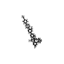 N#Cc1ccc(N2CCN(c3ccc(-c4ccc(C(F)(F)[C@]5(O)Cn6nnnc6-c6cc(F)ccc65)nc4)cc3F)CC2)cc1